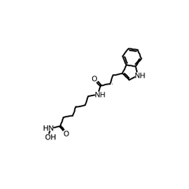 O=C([CH]Cc1c[nH]c2ccccc12)NCCCCCC(=O)NO